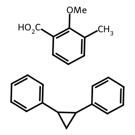 COc1c(C)cccc1C(=O)O.c1ccc(C2CC2c2ccccc2)cc1